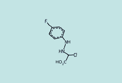 O=C(O)C(Cl)NNc1ccc(F)cc1